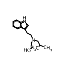 CC(C)CN(CCO)CCc1c[nH]c2ccccc12